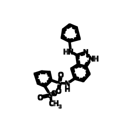 CS(=O)(=O)c1ccccc1S(=O)(=O)Nc1ccc2[nH]nc(Nc3ccccc3)c2c1